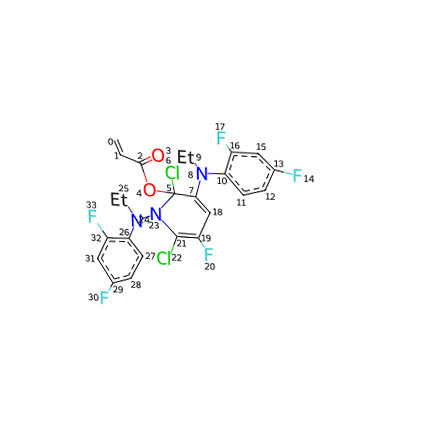 C=CC(=O)OC1(Cl)C(N(CC)c2ccc(F)cc2F)=CC(F)=C(Cl)N1N(CC)c1ccc(F)cc1F